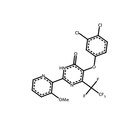 COc1cccnc1-c1nc(C(F)(F)C(F)(F)F)c(Oc2ccc(Cl)c(Cl)c2)c(=O)[nH]1